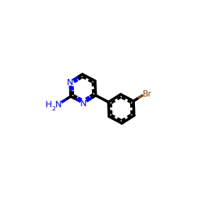 Nc1nccc(-c2cccc(Br)c2)n1